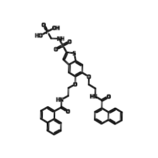 O=C(NCCOc1cc2cc(S(=O)(=O)NCP(=O)(O)O)sc2cc1OCCNC(=O)c1cccc2ccccc12)c1cccc2ccccc12